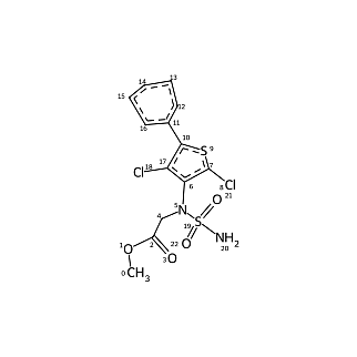 COC(=O)CN(c1c(Cl)sc(-c2ccccc2)c1Cl)S(N)(=O)=O